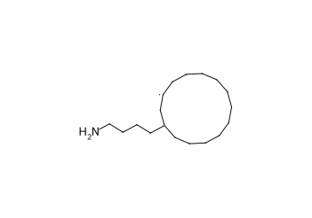 NCCCCC1C[CH]CCCCCCCCCCC1